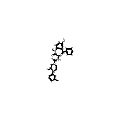 Cc1cccc(N2CCN(C(=S)NC3N=C(c4ccccc4)c4cc(Cl)ccc4N(C)C3=O)CC2C)c1